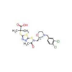 CC(=O)N(C[C@@H]1CN(Cc2ccc(Cl)c(Cl)c2)CCO1)Sc1nnc(SC(C)(C)C(=O)O)s1